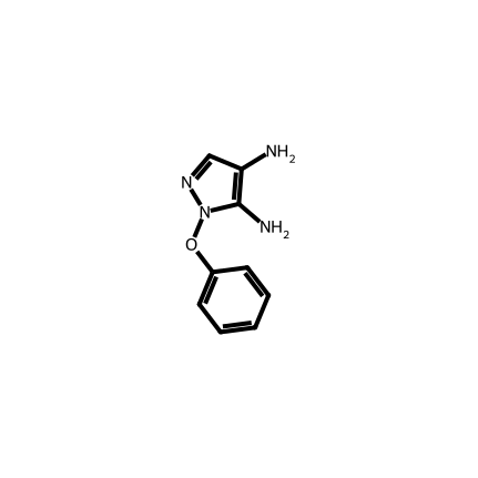 Nc1cnn(Oc2ccccc2)c1N